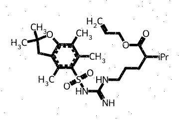 C=CCOC(=O)C(CCCNC(=N)NS(=O)(=O)c1c(C)c(C)c2c(c1C)CC(C)(C)O2)C(C)C